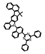 CC1(C)c2cc3c(cc2-c2c1ccc1ccccc21)c1ccccc1n3-c1ccc(-c2nc(-c3ccccc3)nc(-c3ccccc3)n2)c2ccccc12